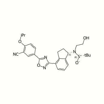 CC(C)Oc1ccc(-c2nc(-c3cccc4c3CC[C@@H]4N(CCO)[S@@+]([O-])C(C)(C)C)no2)cc1C#N